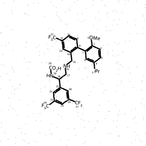 COc1ccc(C(C)C)cc1-c1ccc(C(F)(F)F)cc1CNCC(NC(=O)O)c1cc(C(F)(F)F)cc(C(F)(F)F)c1